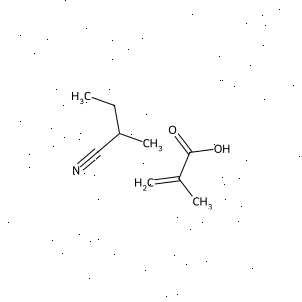 C=C(C)C(=O)O.CCC(C)C#N